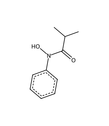 CC(C)C(=O)N(O)c1ccccc1